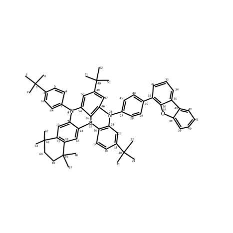 CC(C)(C)c1ccc(N2c3cc4c(cc3B3c5ccc(C(C)(C)C)cc5N(c5ccc(-c6cccc7c6oc6ccccc67)cc5)c5cc(C(C)(C)C)cc2c53)C(C)(C)CCC4(C)C)cc1